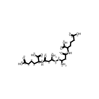 NC(CC(=O)NC(CCCC(=O)O)C(=O)O)SSC(N)CC(=O)NC(CCCC(=O)O)C(=O)O